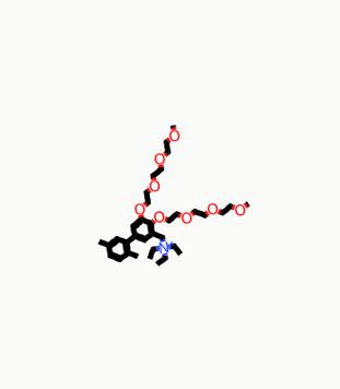 CC[N+](CC)(CC)Cc1cc(-c2cc(C)ccc2C)cc(OCCOCCOCCOC)c1OCCOCCOCCOC